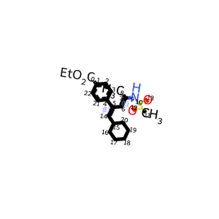 CCOC(=O)c1ccc(C(/C=C(\C)NS(C)(=O)=O)=C/C2CCCCC2)cc1